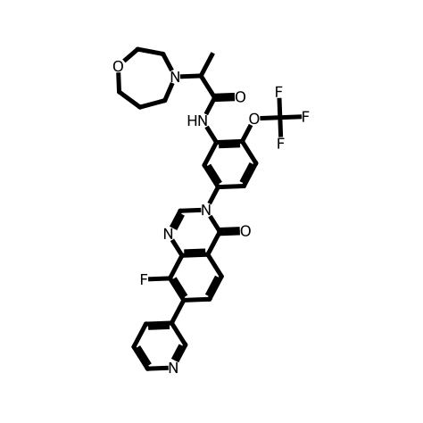 CC(C(=O)Nc1cc(-n2cnc3c(F)c(-c4cccnc4)ccc3c2=O)ccc1OC(F)(F)F)N1CCCOCC1